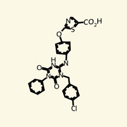 O=C(O)c1cnc(Oc2ccc(/N=c3\[nH]c(=O)n(-c4ccccc4)c(=O)n3Cc3ccc(Cl)cc3)cc2)s1